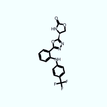 O=C1N[C@H](c2nnc(-c3ccccc3Nc3ccc(C(F)(F)F)cc3)o2)CO1